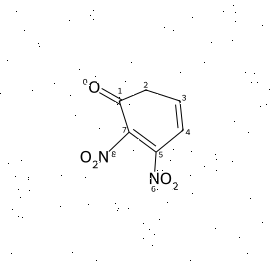 O=C1CC=CC([N+](=O)[O-])=C1[N+](=O)[O-]